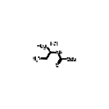 CC(C)COC(=O)N[C@@H](CN)C(=O)O.Cl